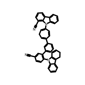 N#Cc1ccc(-n2c3c(c4ccccc42)CCC=C3)c(-c2cccc(C3=CCC=C(n4c5ccccc5c5cccc(C#N)c54)C=C3)c2)c1